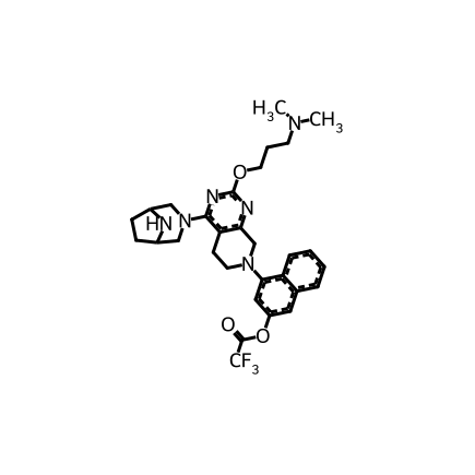 CN(C)CCCOc1nc2c(c(N3CC4CCC(C3)N4)n1)CCN(c1cc(OC(=O)C(F)(F)F)cc3ccccc13)C2